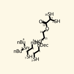 CCCCCCCCCCCCS.CCCCCCCCCCCCS.CCC[CH2][Sn][CH2]CCC.O=C(OCCO)C(S)S